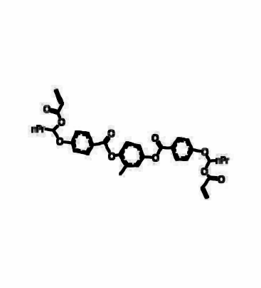 C=CC(=O)OC(CCC)Oc1ccc(C(=O)Oc2ccc(OC(=O)c3ccc(OC(CCC)OC(=O)C=C)cc3)c(C)c2)cc1